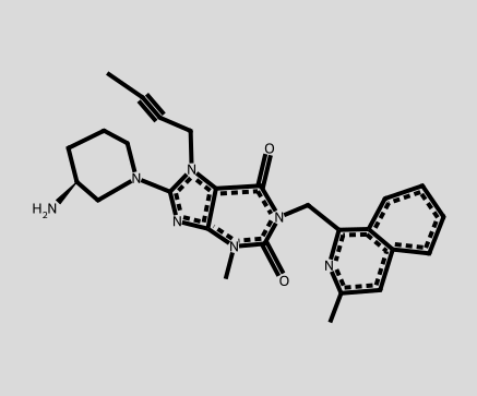 CC#CCn1c(N2CCC[C@H](N)C2)nc2c1c(=O)n(Cc1nc(C)cc3ccccc13)c(=O)n2C